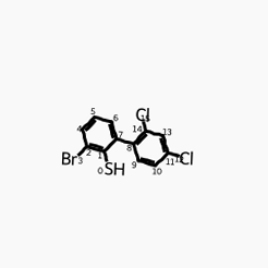 Sc1c(Br)cccc1-c1ccc(Cl)cc1Cl